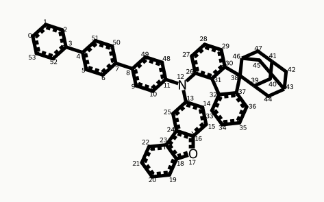 c1ccc(-c2ccc(-c3ccc(N(c4ccc5oc6ccccc6c5c4)c4cccc5c4-c4ccccc4C54C5CC6CC(C5)CC4C6)cc3)cc2)cc1